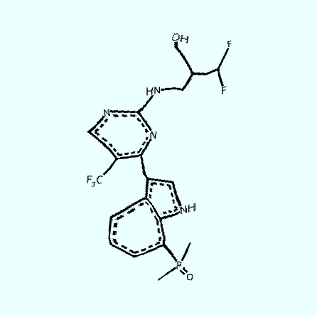 CP(C)(=O)c1cccc2c(-c3nc(NCC(O)C(F)F)ncc3C(F)(F)F)c[nH]c12